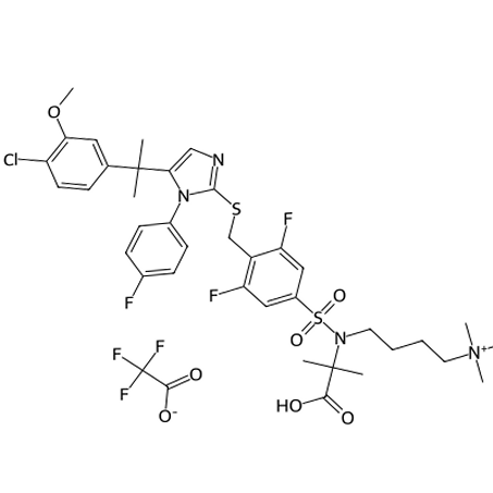 COc1cc(C(C)(C)c2cnc(SCc3c(F)cc(S(=O)(=O)N(CCCC[N+](C)(C)C)C(C)(C)C(=O)O)cc3F)n2-c2ccc(F)cc2)ccc1Cl.O=C([O-])C(F)(F)F